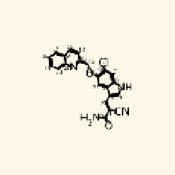 N#C/C(=C\c1c[nH]c2cc(Cl)c(OCc3ccc4ccccc4n3)cc12)C(N)=O